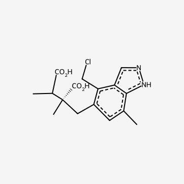 Cc1cc(C[C@](C)(C(=O)O)C(C)C(=O)O)c(CCl)c2cn[nH]c12